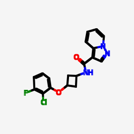 O=C(NC1CC(Oc2cccc(F)c2Cl)C1)c1cnn2ccccc12